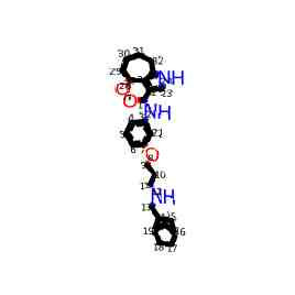 O=C(Nc1cccc(OCCCNCC2CC3CCC2C3)c1)c1c[nH]c2c1C(=O)CCCC2